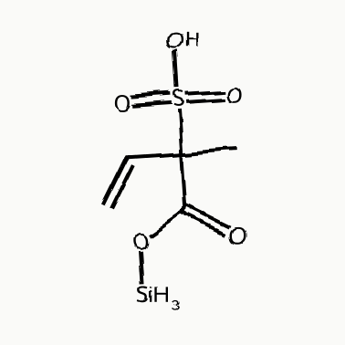 C=CC(C)(C(=O)O[SiH3])S(=O)(=O)O